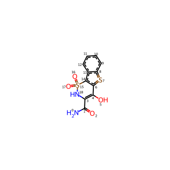 NC(=O)C1=C(O)c2sc3ccccc3c2S(=O)(=O)N1